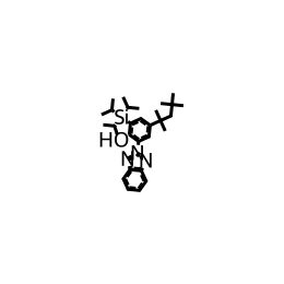 CC(C)[Si](c1cc(C(C)(C)CC(C)(C)C)cc(-n2nc3ccccc3n2)c1O)(C(C)C)C(C)C